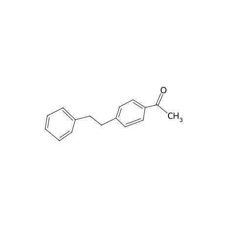 CC(=O)c1ccc(CCc2ccccc2)cc1